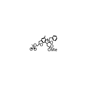 COC(=O)CC1C(=O)N(Cc2ccccc2)c2c(C)cc3c(c21)OC(COS(C)(=O)=O)C3